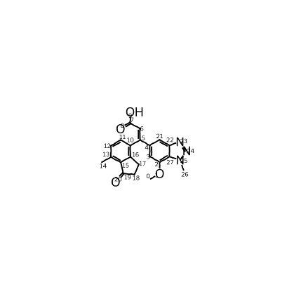 COc1cc(C(=CC(=O)O)c2ccc(C)c3c2CCC3=O)cc2nnn(C)c12